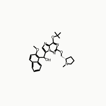 COc1ccc2ccccc2c1C(O)c1cnc2c(OC(C)(C)C)nc(OC[C@@H]3CCCN3C)nn12